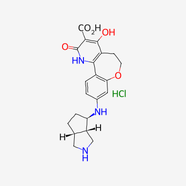 Cl.O=C(O)c1c(O)c2c([nH]c1=O)-c1ccc(N[C@@H]3CC[C@H]4CNC[C@H]43)cc1OCC2